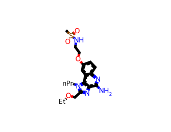 CCCn1c(COCC)nc2c(N)nc3ccc(OCCNS(C)(=O)=O)cc3c21